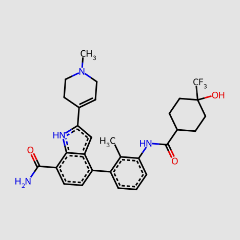 Cc1c(NC(=O)C2CCC(O)(C(F)(F)F)CC2)cccc1-c1ccc(C(N)=O)c2[nH]c(C3=CCN(C)CC3)cc12